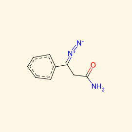 [N-]=[N+]=C(CC(N)=O)c1ccccc1